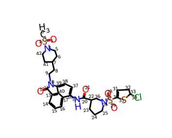 CS(=O)(=O)N1CCC(CCN2C(=O)c3cccc4c(NC(=O)C5CCCN(S(=O)(=O)C6=CCC(Cl)S6)C5)ccc2c34)CC1